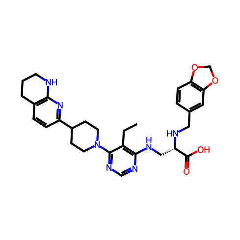 CCc1c(NC[C@H](NCc2ccc3c(c2)OCO3)C(=O)O)ncnc1N1CCC(c2ccc3c(n2)NCCC3)CC1